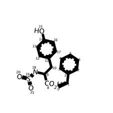 C=Cc1ccccc1.O=C(O)C(Cc1ccc(O)cc1)N=S(=O)=O